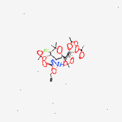 C#CCOC(=O)NC1C(OC(C)=O)C(F)C(C)(C)OC1[C@H](OC(C)=O)[C@@H](COC(C)=O)OC(C)=O